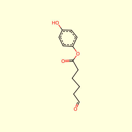 O=CCCCCC(=O)Oc1ccc(O)cc1